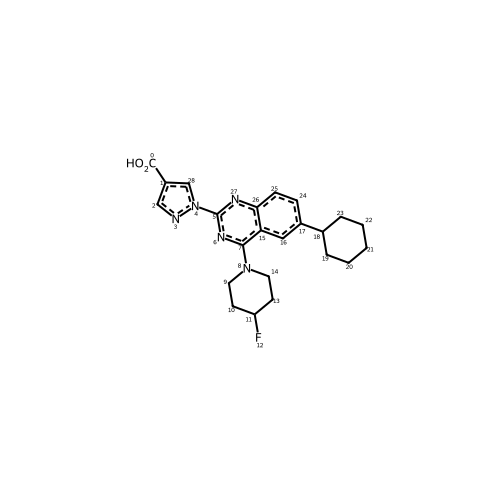 O=C(O)c1cnn(-c2nc(N3CCC(F)CC3)c3cc(C4CCCCC4)ccc3n2)c1